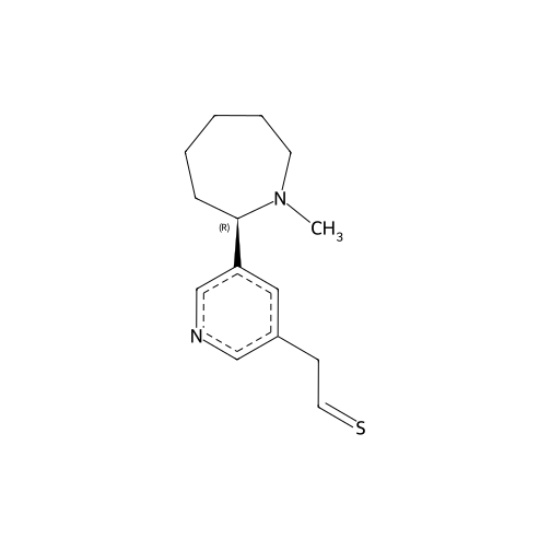 CN1CCCCC[C@@H]1c1cncc(CC=S)c1